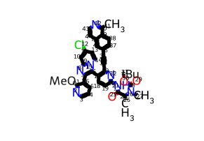 COc1ncccc1-c1nc2cc(Cl)ccn2c1-c1ccc(NC(=O)C(C)N(C)C(=O)OC(C)(C)C)nc1C#Cc1ccc2c(C)nccc2c1